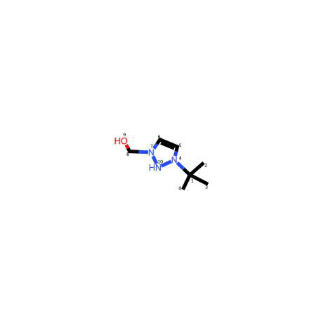 CC(C)(C)N1C=CN(CO)N1